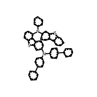 c1ccc(-c2ccc(N(c3ccc(-c4ccccc4)cc3)c3ccc4c(c3)sc3cccc(N(c5ccccc5)c5ccc6c(c5)sc5ccccc56)c34)cc2)cc1